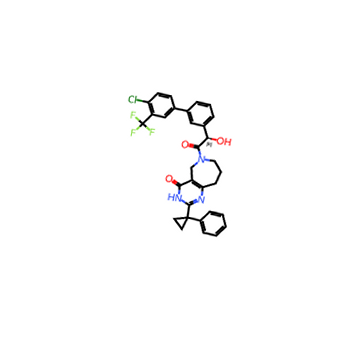 O=C([C@H](O)c1cccc(-c2ccc(Cl)c(C(F)(F)F)c2)c1)N1CCCc2nc(C3(c4ccccc4)CC3)[nH]c(=O)c2C1